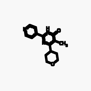 Cc1c(C2CCOCC2)nc(-c2ccncc2)[nH]c1=O